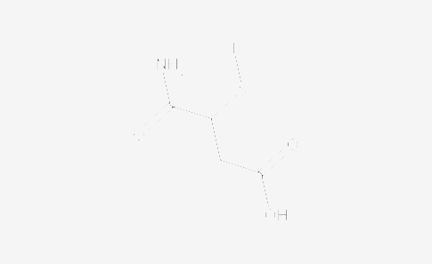 NC(=O)C(CC(=O)O)SI